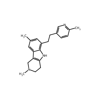 Cc1cc(CCc2ccc(C)nc2)c2[nH]c3c(c2c1)CN(C)CC3